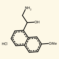 COc1ccc2cccc(C(O)CN)c2c1.Cl